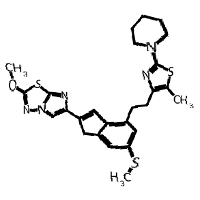 COc1nn2cc(C3=Cc4c(CCc5nc(N6CCCCC6)sc5C)cc(SC)cc4C3)nc2s1